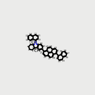 CC12CCCCC1(C)N(c1cccc3ccccc13)c1ccc(-c3ccc4ccc5c(-c6cccc7ccccc67)ccc6ccc3c4c65)cc12